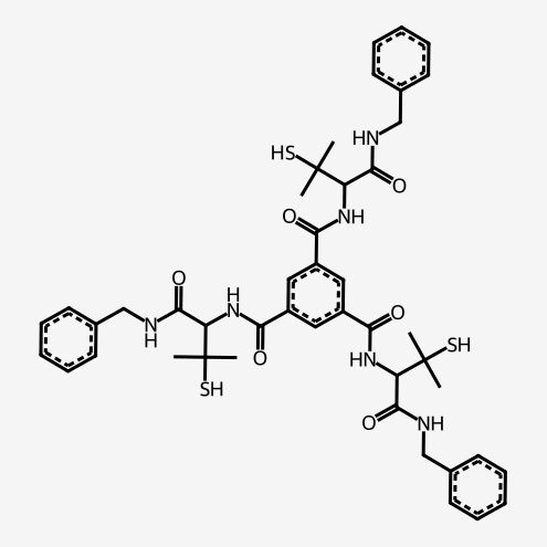 CC(C)(S)C(NC(=O)c1cc(C(=O)NC(C(=O)NCc2ccccc2)C(C)(C)S)cc(C(=O)NC(C(=O)NCc2ccccc2)C(C)(C)S)c1)C(=O)NCc1ccccc1